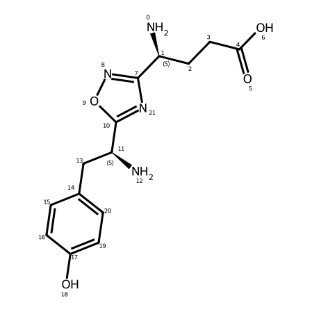 N[C@@H](CCC(=O)O)c1noc([C@@H](N)Cc2ccc(O)cc2)n1